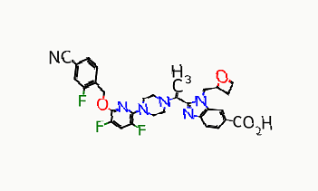 CC(c1nc2ccc(C(=O)O)cc2n1C[C@@H]1CCO1)N1CCN(c2nc(OCc3ccc(C#N)cc3F)c(F)cc2F)CC1